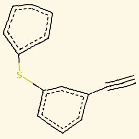 C#Cc1cccc(Sc2ccccc2)c1